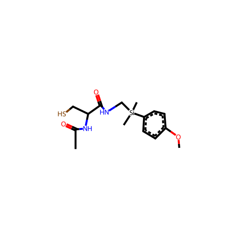 COc1ccc([Si](C)(C)CNC(=O)C(CS)NC(C)=O)cc1